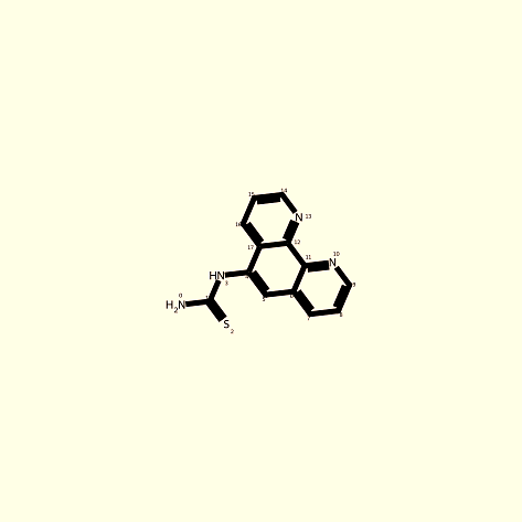 NC(=S)Nc1cc2cccnc2c2ncccc12